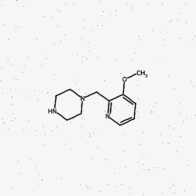 COc1cccnc1CN1CCNCC1